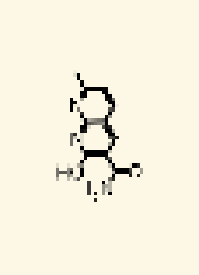 Cc1ccc2cc(C(N)=O)c(O)nc2n1